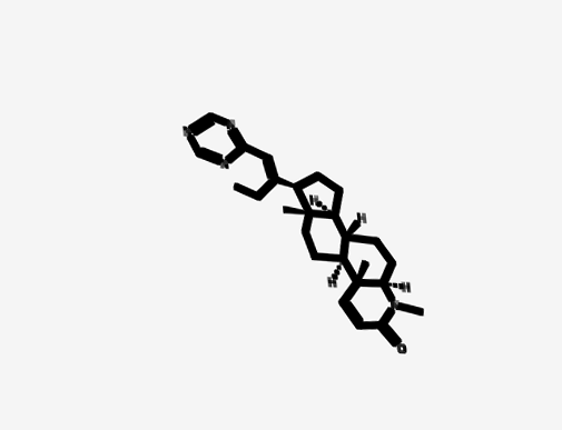 CC/C(=C\c1ncncn1)[C@H]1CC[C@H]2[C@@H]3CC[C@H]4N(C)C(=O)C=C[C@]4(C)[C@H]3CC[C@]12C